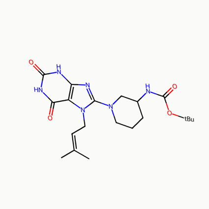 CC(C)=CCn1c(N2CCCC(NC(=O)OC(C)(C)C)C2)nc2[nH]c(=O)[nH]c(=O)c21